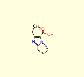 CCc1nc2ccccn2c1C(=O)O